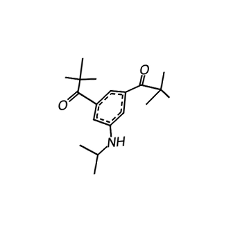 CC(C)Nc1cc(C(=O)C(C)(C)C)cc(C(=O)C(C)(C)C)c1